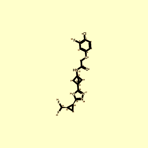 O=C(COc1ccc(Cl)c(F)c1)NC12CC(c3nnc([C@H]4C[C@H]4C(F)F)o3)(C1)C2